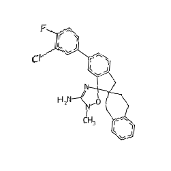 CN1OC2(N=C1N)c1cc(-c3ccc(F)c(Cl)c3)ccc1CC21CCc2ccccc2CC1